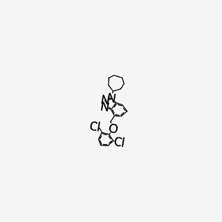 Clc1cccc(Cl)c1OCc1cccc2c1nnn2C1CCCCCC1